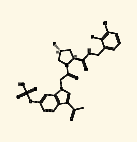 CC(=O)c1cn(CC(=O)N2C[C@H](F)C[C@H]2C(=O)NCc2cccc(Cl)c2F)c2cc(OS(=O)(=O)O)ccc12